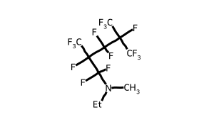 CCN(C)C(F)(F)C(F)(C(F)(F)F)C(F)(F)C(F)(C(F)(F)F)C(F)(F)F